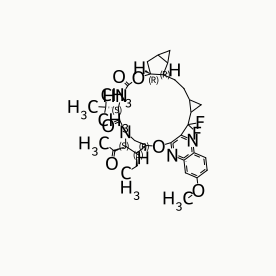 CC[C@@H]1[C@@H]2CN(C(=O)[C@H](C(C)(C)C)NC(=O)O[C@@H]3CC4CC4[C@H]3CCC3CC3C(F)(F)c3nc4ccc(OC)cc4nc3O2)[C@@H]1C(C)=O